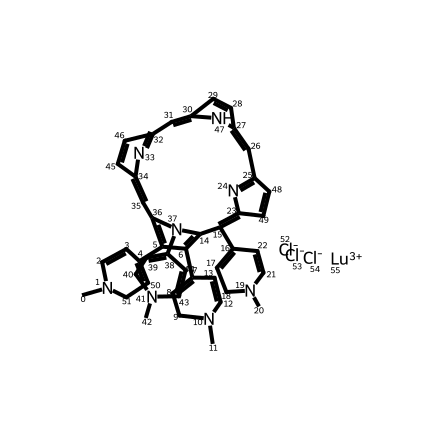 CN1C=CC(c2c(C3=CCN(C)C=C3)c3c(C4=CCN(C)C=C4)c4nc(cc5ccc(cc6nc(cc2n3C2=CCN(C)C=C2)C=C6)[nH]5)C=C4)=CC1.[Cl-].[Cl-].[Cl-].[Lu+3]